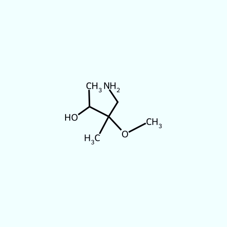 COC(C)(CN)C(C)O